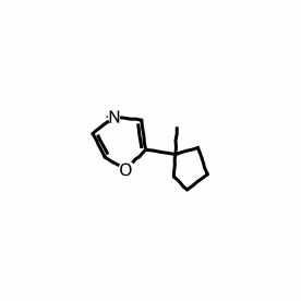 CC1(C2=C[N]C=CO2)CCCC1